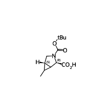 CC1C2[C@H]1CN(C(=O)OC(C)(C)C)[C@H]2C(=O)O